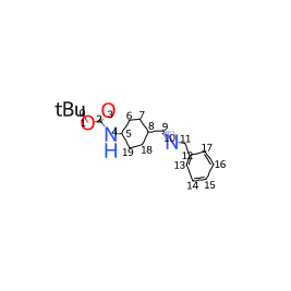 CC(C)(C)OC(=O)NC1CCC(/C=N/Cc2ccccc2)CC1